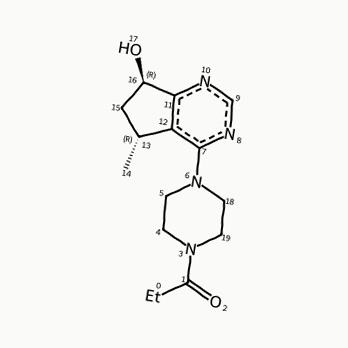 CCC(=O)N1CCN(c2ncnc3c2[C@H](C)C[C@H]3O)CC1